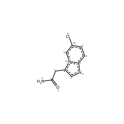 NC(=O)Cc1cnc2ccc(Cl)cn12